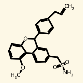 C=CCc1ccc(C2Oc3cccc(OC)c3-c3ccc(CS(N)(=O)=O)cc32)cc1